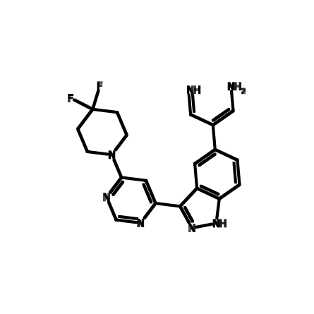 N=C/C(=C\N)c1ccc2[nH]nc(-c3cc(N4CCC(F)(F)CC4)ncn3)c2c1